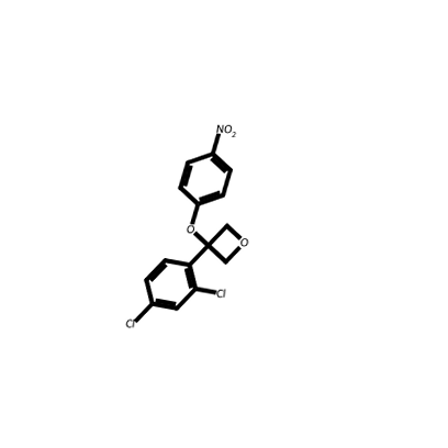 O=[N+]([O-])c1ccc(OC2(c3ccc(Cl)cc3Cl)COC2)cc1